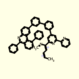 C=N/C(=C\C=C/C)c1cc(-c2cccc(-c3cccc(-c4ccc5nc(-c6ccccc6)c6cccc(-c7ccccc7)c6c5c4)c3)c2)cc(-c2ccccn2)n1